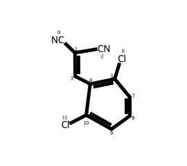 N#CC(C#N)=Cc1c(Cl)cccc1Cl